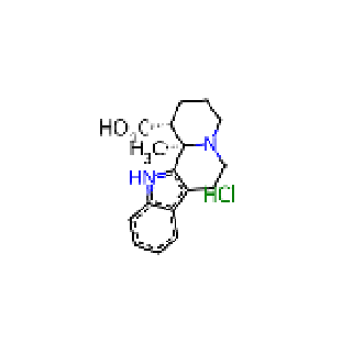 C[C@@]12c3[nH]c4ccccc4c3CCN1CCC[C@H]2C(=O)O.Cl